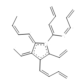 C=C/C=C\c1c(C=C)n(C(=C/C=C)/N=C\C=C)c(=C/C=C\C)/c1=C\C